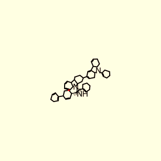 C1=CC2C3CCC(C4=CCC5C(=C4)C4C=CCCC4N5C4=CCCCC4)CC3N([C@@]3(C4=CCCCC4)N[C@H]3C3C=CC(C4=CCCC=C4)CC3)C2C=C1